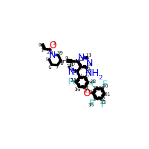 C=CC(=O)N1CCC[C@@H](C#Cc2ncnc(N)c2/C(=N\C)c2ccc(Oc3c(F)c(F)cc(F)c3F)cc2F)C1